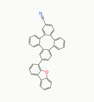 N#Cc1ccc2c(c1)-c1ccccc1-c1cc(-c3cccc4c3oc3ccccc34)ccc1-c1ccccc1-2